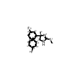 CSC1=N[C@@](C)(c2cccc(F)c2)[C@@H](c2cccc(F)c2)N1